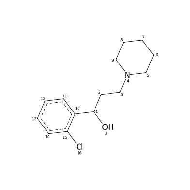 OC(CCN1CCCCC1)c1ccccc1Cl